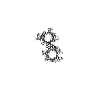 CCCC[C@@H](C)C[C@@H]1NC(=O)[C@H](CC2CCCCC2)N(C)C(=O)[C@H](CC(C)Cc2cccc3c(C[C@H]4C(=O)N[C@@H](CC(C)C)C(=O)N(C)[C@@H](C)C(=O)O[C@H](CCC#N)C(=O)N[C@@H](CCCC)C(=O)N(C)[C@@H](CC(C)C)C(=O)N[C@@H](CC(C)C)C(=O)N4C)cn(Cc4ccc(C(F)(F)F)cc4)c23)NC(=O)[C@H](CC(C)C)N(C)C(=O)[C@H](CC2CCCC2)NC(=O)[C@@H](CCC#N)OC(=O)[C@H](C)N(C)C1=O